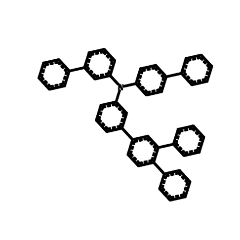 c1ccc(-c2ccc(N(c3cccc(-c4ccccc4)c3)c3cccc(-c4ccc(-c5ccccc5)c(-c5ccccc5)c4)c3)cc2)cc1